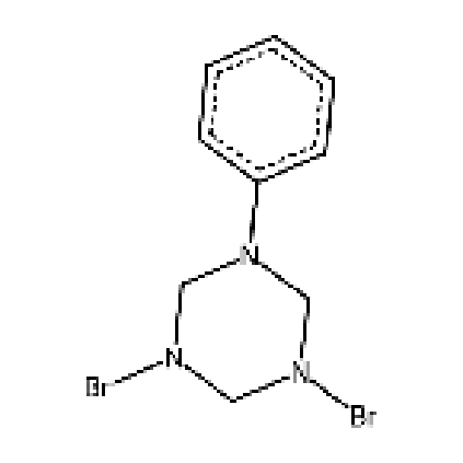 BrN1CN(Br)CN(c2ccccc2)C1